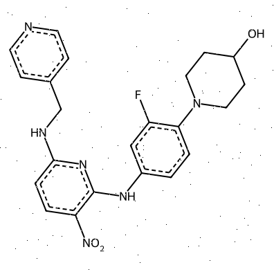 O=[N+]([O-])c1ccc(NCc2ccncc2)nc1Nc1ccc(N2CCC(O)CC2)c(F)c1